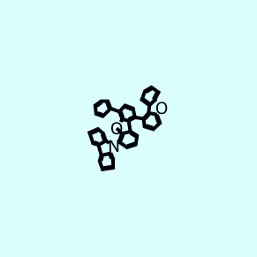 c1ccc(-c2ccc(-c3cccc4oc5ccccc5c34)c3c2oc2c(-n4c5ccccc5c5ccccc54)cccc23)cc1